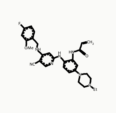 C=CC(=O)Nc1cc(N2CCN(CC)CC2)ccc1Nc1cc(NCc2ccc(F)cc2OC)c(C#N)cn1